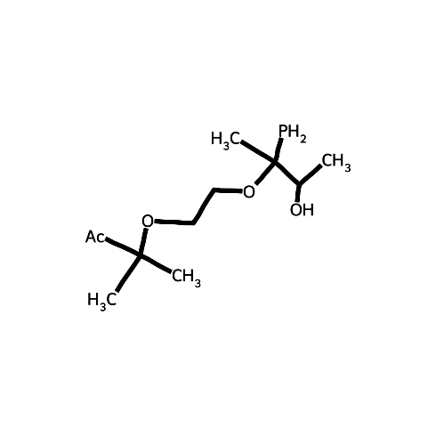 CC(=O)C(C)(C)OCCOC(C)(P)C(C)O